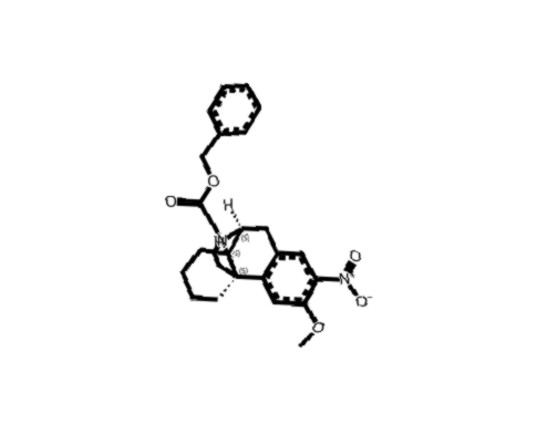 COc1cc2c(cc1[N+](=O)[O-])C[C@H]1[C@H]3CCCC[C@@]23CCN1C(=O)OCc1ccccc1